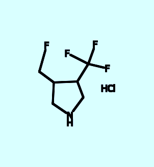 Cl.FCC1CNCC1C(F)(F)F